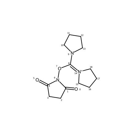 O=C1CCC(=O)N1OC(N1CCCC1)=[N+]1CCCC1